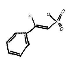 O=S(=O)(Cl)C=C(Br)c1ccccc1